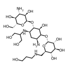 N[C@@H]1[C@@H](O)[C@@H](O[C@H]2[C@H](NC(CO)CO)C[C@H](N)C(O[C@H]3O[C@H](CNCCCO)[C@@H](O)[C@H](O)[C@H]3O)[C@@H]2O)O[C@H](CO)[C@H]1O